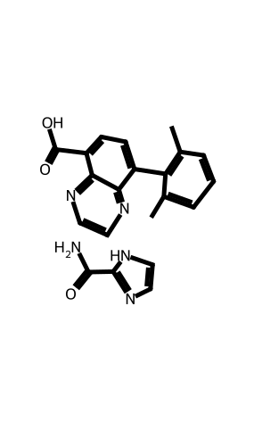 Cc1cccc(C)c1-c1ccc(C(=O)O)c2nccnc12.NC(=O)c1ncc[nH]1